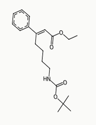 CCOC(=O)C=C(CCCCNC(=O)OC(C)(C)C)c1ccccc1